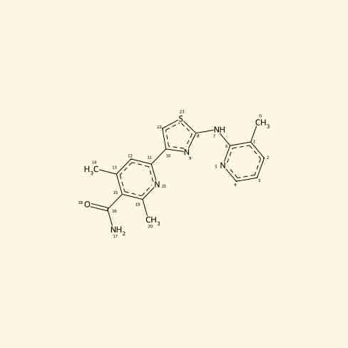 Cc1cccnc1Nc1nc(-c2cc(C)c(C(N)=O)c(C)n2)cs1